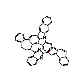 c1ccc2c(c1)CCC(c1nc(-c3ccc4ccc5ccccc5c4c3)nc3ccccc13)c1c-2cc2c3cc4ccccc4cc3n3c4ccccc4c1c23